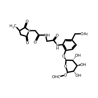 CC(=O)OCc1ccc(O[C@@H]2O[C@H](OC=O)[C@@H](O)[C@H](O)[C@H]2O)c(NC(=O)CNC(=O)CN2C(=O)CC(C)C2=O)c1